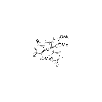 COc1cc(CN(CC(OC)OC)S(=O)(=O)c2ccc(C)cc2)c(Br)cc1F